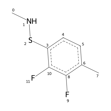 CNSc1ccc(C)c(F)c1F